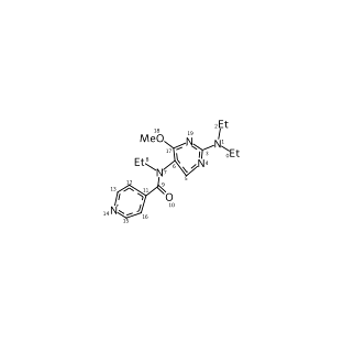 CCN(CC)c1ncc(N(CC)C(=O)c2ccncc2)c(OC)n1